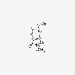 Cn1oc2cc(CBr)ccc2c1=O